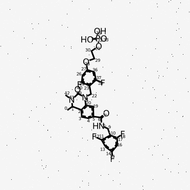 CC1c2ccc(C(=O)NCc3c(F)cc(F)cc3F)cc2N(Cc2c(F)cc(OCCOP(=O)(O)O)cc2F)C(=O)N1C